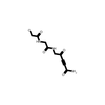 NC(=O)C#CC(=O)CNC(=O)CNC(=O)CCl